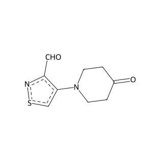 O=Cc1nscc1N1CCC(=O)CC1